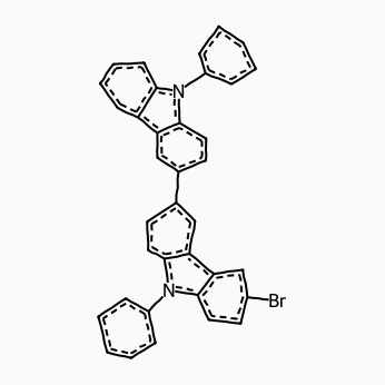 Brc1ccc2c(c1)c1cc(-c3ccc4c(c3)c3ccccc3n4-c3ccccc3)ccc1n2-c1ccccc1